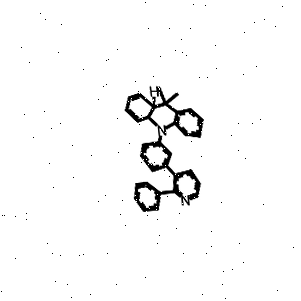 CC1(C)c2ccccc2N(c2cccc(-c3cccnc3-c3ccccc3)c2)C2C=CC=C[C@@H]21